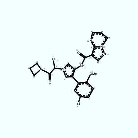 COc1ccc(Cl)cc1-c1nn(C(C)C(=O)N2CCC2)cc1NC(=O)c1cnn2cccnc12